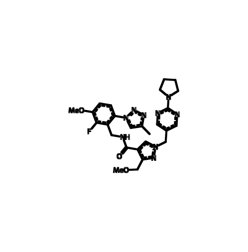 COCc1nn(Cc2cnc(N3CCCC3)nc2)cc1C(=O)NCc1c(-n2cc(C)nn2)ccc(OC)c1F